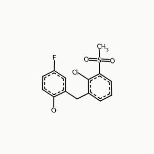 CS(=O)(=O)c1cccc(Cc2cc(F)ccc2[O])c1Cl